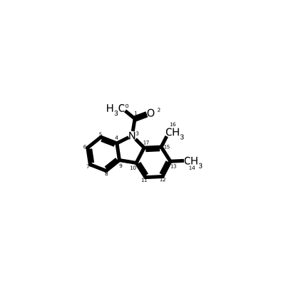 CC(=O)n1c2ccccc2c2ccc(C)c(C)c21